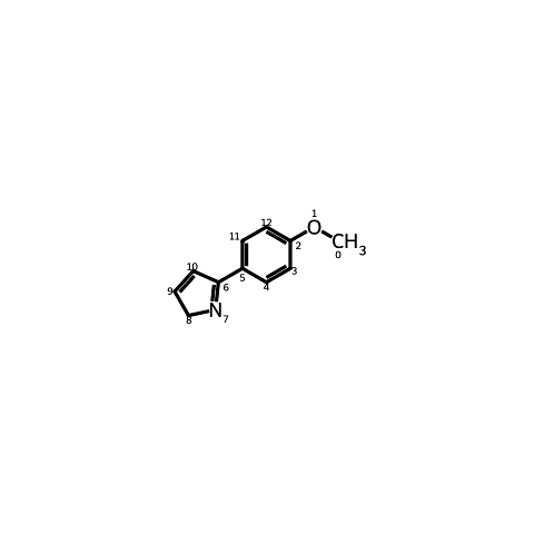 COc1ccc(C2=NCC=C2)cc1